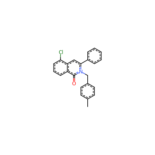 Cc1ccc(Cn2c(-c3ccccc3)cc3c(Cl)cccc3c2=O)cc1